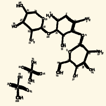 NC1CC(N)C(OC2OC(CO)C(O)C(O)C2N)C(O)C1OC1OCC(O)C(O)C1N.O=S(=O)(O)O.O=S(=O)(O)O